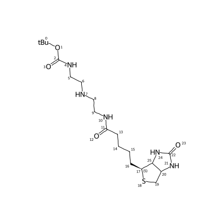 CC(C)(C)OC(=O)NCCNCCNC(=O)CCCC[C@@H]1SCC2NC(=O)NC21